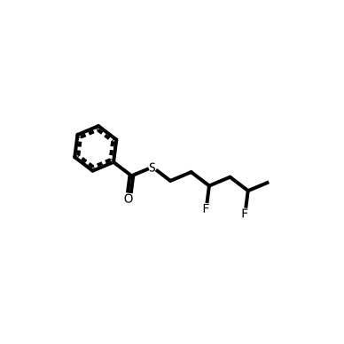 CC(F)CC(F)CCSC(=O)c1ccccc1